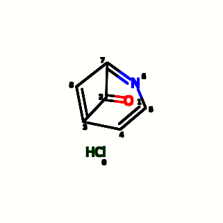 Cl.O=C1c2ccnc1c2